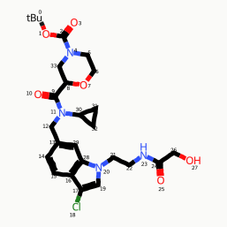 CC(C)(C)OC(=O)N1CCOC(C(=O)N(Cc2ccc3c(Cl)cn(CCNC(=O)CO)c3c2)C2CC2)C1